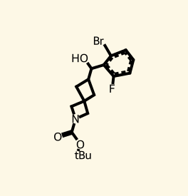 CC(C)(C)OC(=O)N1CC2(CC(C(O)c3c(F)cccc3Br)C2)C1